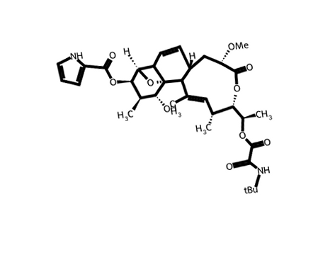 CO[C@H]1C[C@H]2C=CC3C4[C@H](O)[C@@H](C)[C@@H](OC(=O)c5ccc[nH]5)[C@@H]3O[C@]42/C(C)=C/[C@@H](C)[C@@H]([C@@H](C)OC(=O)C(=O)NC(C)(C)C)OC1=O